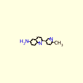 Cc1ccc(-c2c[c]c3cc(N)ccc3n2)cn1